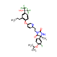 CCCc1cc(C(O)(C(F)(F)F)C(F)(F)F)ccc1Oc1ccc(CCN2C(=O)NC(C)(c3ccc(OC(C)C)c(F)c3)C2=O)nc1